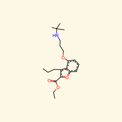 CCCc1c(C(=O)OCC)oc2cccc(OCCCNC(C)(C)C)c12